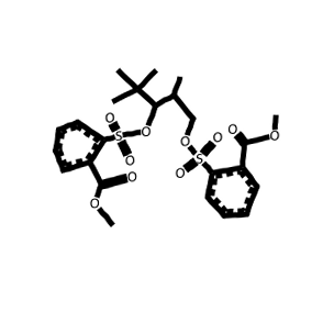 COC(=O)c1ccccc1S(=O)(=O)OCC(C)C(OS(=O)(=O)c1ccccc1C(=O)OC)C(C)(C)C